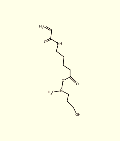 C=CC(=O)NCCCCC(=O)ON(C)CCCO